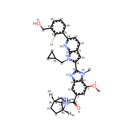 COc1cc(C(=O)N2C[C@H]3CC[C@@H]2[C@@H]3N)cc2nc(-c3cc4ccc(-c5cccc(CO)c5F)nc4n3CC3CC3)n(C)c12